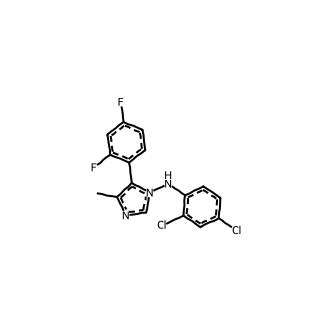 Cc1ncn(Nc2ccc(Cl)cc2Cl)c1-c1ccc(F)cc1F